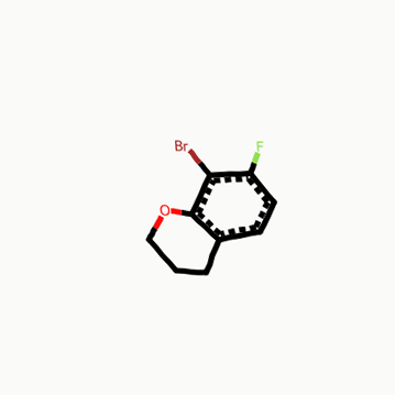 Fc1ccc2c(c1Br)OCCC2